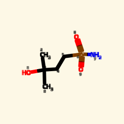 CC(C)(O)CCS(N)(=O)=O